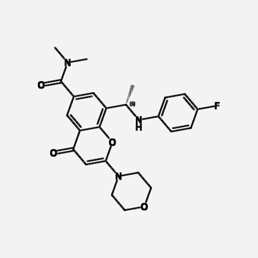 C[C@H](Nc1ccc(F)cc1)c1cc(C(=O)N(C)C)cc2c(=O)cc(N3CCOCC3)oc12